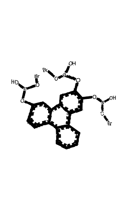 OB(OBr)Oc1[c]cc2c3c[c][c]cc3c3cc(OB(O)OBr)c(OB(O)OBr)cc3c2c1